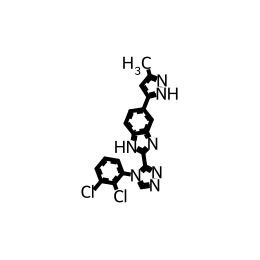 Cc1cc(-c2ccc3[nH]c(-c4nncn4-c4cccc(Cl)c4Cl)nc3c2)[nH]n1